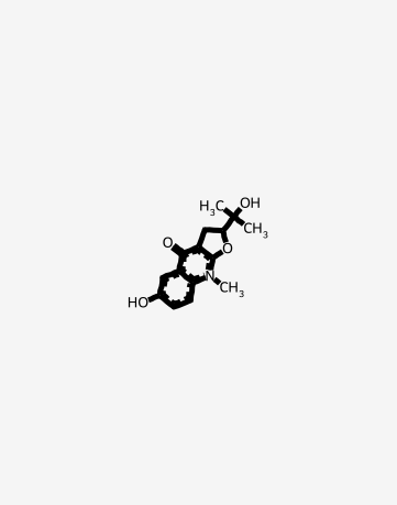 Cn1c2c(c(=O)c3cc(O)ccc31)CC(C(C)(C)O)O2